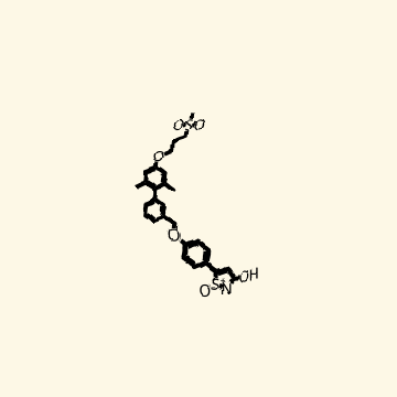 Cc1cc(OCCCS(C)(=O)=O)cc(C)c1-c1cccc(COc2ccc(-c3cc(O)n[s+]3[O-])cc2)c1